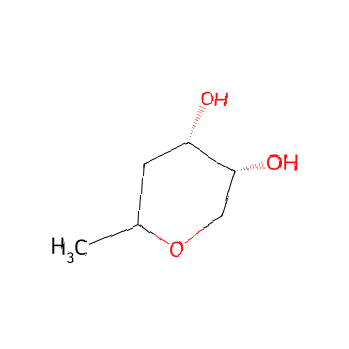 CC1C[C@H](O)[C@H](O)CO1